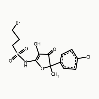 CC1(c2ccc(Cl)cc2)OC(NS(=O)(=O)CCCBr)=C(O)C1=O